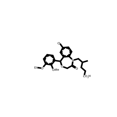 CCOc1cccc(C2OCC(=O)N(CC(C)CCC(=O)O)c3ccc(Cl)cc32)c1OC